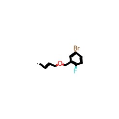 [CH2]C=CCOCc1cc(Br)ccc1F